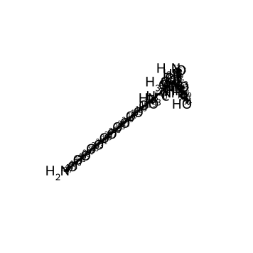 CN[C@@H](CCCCNC(=O)CCOCCOCCOCCOCCOCCOCCOCCOCCOCCOCCOCCOCCN)C(=O)N[C@H](C(=O)N[C@@H](CCCNC(N)=O)C(=O)Nc1ccc(CO)cc1)C(C)C